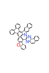 C1=CC2Oc3cccc(-c4nc5ccc6ccccc6c5nc4-n4c5cc6ccccc6cc5c5c6c7ccccc7c7ccccc7c6ccc54)c3C2C=C1